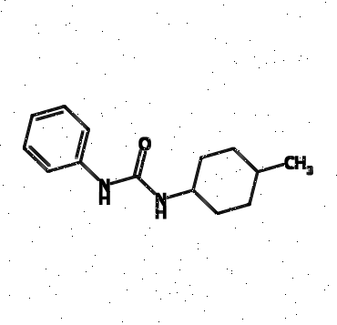 CC1CCC(NC(=O)Nc2ccccc2)CC1